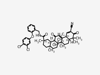 CC1(C)C(=O)C(C#N)=C[C@]2(C)C3=CC(=O)[C@]4(O)[C@@H]5C[C@@](C)(C(=O)NCc6ccccc6Oc6ccc(Cl)c(Cl)c6)CC[C@]5(C)CC[C@@]4(C)[C@]3(C)CC[C@@H]12